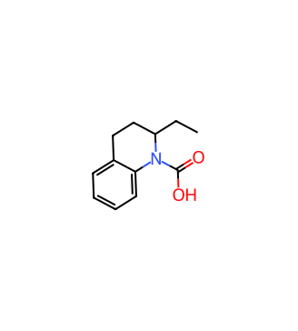 CCC1CCc2ccccc2N1C(=O)O